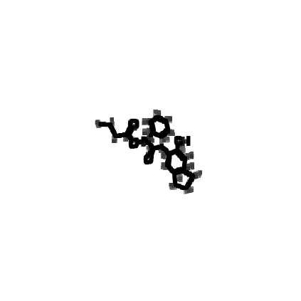 CCCC(=O)ON1C(=O)C(c2cc3c(cc2O)CCC3)c2ccccc21